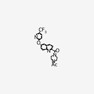 CC(=O)N1CCN(C(=O)c2ccc3cc(Oc4ccc(C(F)(F)F)cn4)ccc3n2)CC1